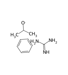 CC(C)[O].N=C(N)N.c1ccccc1